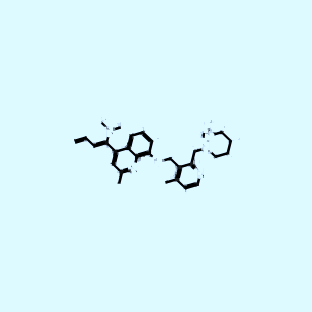 C=C/C=C(/c1cc(C)nc2c(OCc3c(C)ccnc3CN3CCCCS3(=O)=O)cccc12)N(C)C